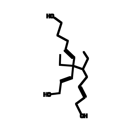 CCC(CC=CCO)C(C=CCO)(C=CCCCO)CC